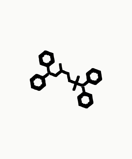 CC(CCC(C)(C)P(c1ccccc1)c1ccccc1)CP(c1ccccc1)c1ccccc1